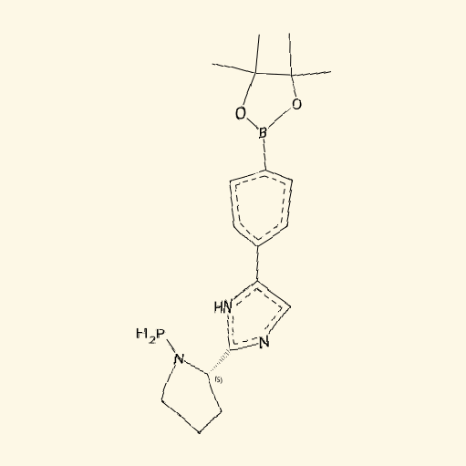 CC1(C)OB(c2ccc(-c3cnc([C@@H]4CCCN4P)[nH]3)cc2)OC1(C)C